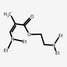 CCN(C=C(C)C(=O)OCCN(CC)CC)CC